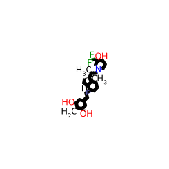 C=C1[C@H](O)CC(=C/C=C2\CCC[C@]3(C)[C@@H]([C@H](C)CN4CCCC(O)(C(F)F)C4)CC[C@@H]23)C[C@H]1O